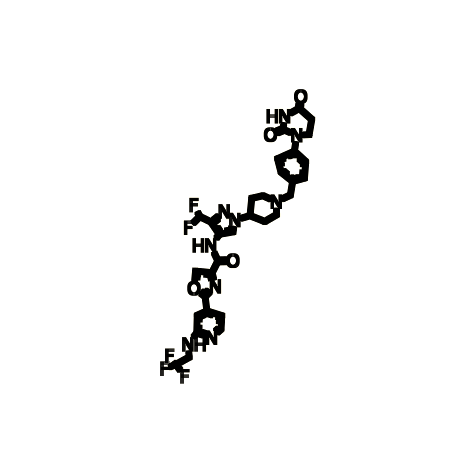 O=C1CCN(c2ccc(CN3CCC(n4cc(NC(=O)c5coc(-c6ccnc(NCC(F)(F)F)c6)n5)c(C(F)F)n4)CC3)cc2)C(=O)N1